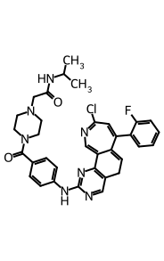 CC(C)NC(=O)CN1CCN(C(=O)c2ccc(Nc3ncc4c(n3)C3=CN=C(Cl)C=C(c5ccccc5F)C3=CC4)cc2)CC1